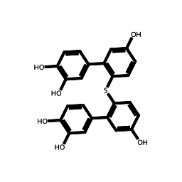 Oc1ccc(Sc2ccc(O)cc2-c2ccc(O)c(O)c2)c(-c2ccc(O)c(O)c2)c1